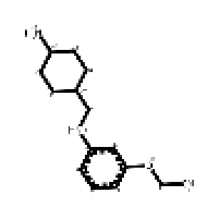 N#CCOc1cccc(NCC2CCC(N)CC2)c1